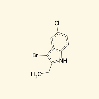 [CH2]Cc1[nH]c2ccc(Cl)cc2c1Br